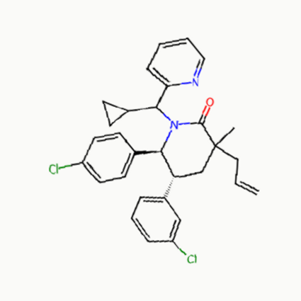 C=CCC1(C)C[C@H](c2cccc(Cl)c2)[C@@H](c2ccc(Cl)cc2)N(C(c2ccccn2)C2CC2)C1=O